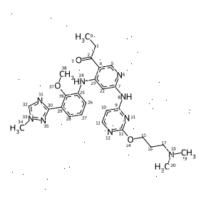 CCC(=O)c1cnc(Nc2ccnc(OCCCN(C)C)n2)cc1Nc1cccc(-c2ncn(C)n2)c1OC